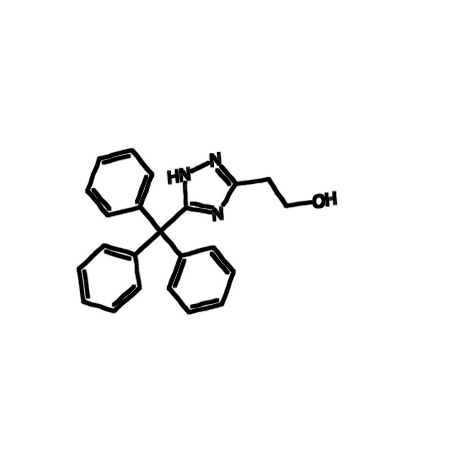 OCCc1n[nH]c(C(c2ccccc2)(c2ccccc2)c2ccccc2)n1